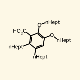 CCCCCCCOc1cc(CCCCCCC)c(CCCCCCC)c(C(=O)O)c1OCCCCCCC